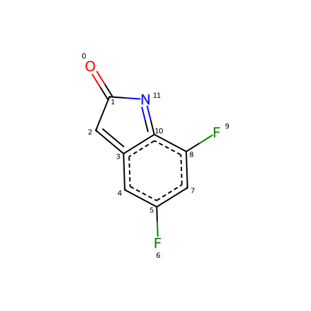 O=C1C=c2cc(F)cc(F)c2=N1